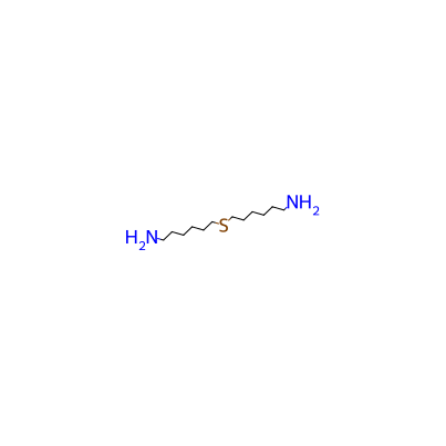 NCCCCCCSCCCCCCN